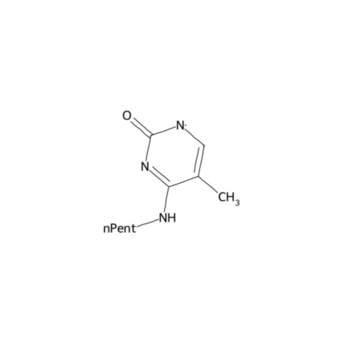 CCCCCNC1=NC(=O)[N]C=C1C